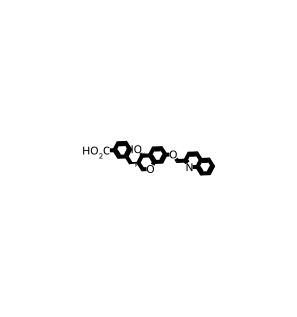 O=C(O)c1cccc(C[C@@H]2COc3cc(OCc4ccc5ccccc5n4)ccc3[C@@H]2O)c1